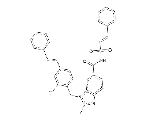 Cc1nc2ccc(C(=O)NS(=O)(=O)/C=C/c3ccccc3)cc2n1Cc1ccc(/C=C/c2ccccc2)cc1Cl